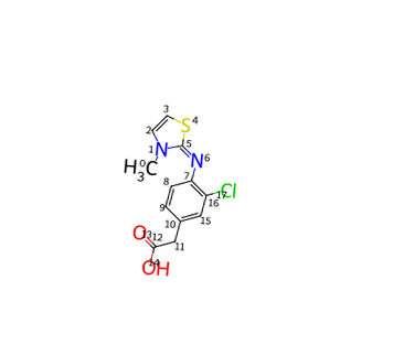 Cn1ccsc1=Nc1ccc(CC(=O)O)cc1Cl